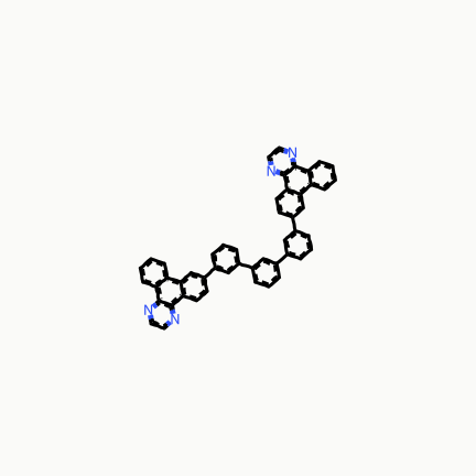 c1cc(-c2cccc(-c3ccc4c(c3)c3ccccc3c3nccnc43)c2)cc(-c2cccc(-c3ccc4c(c3)c3ccccc3c3nccnc43)c2)c1